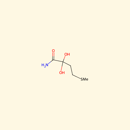 CSCCC(O)(O)C(N)=O